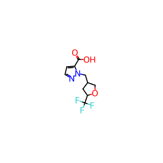 O=C(O)c1ccnn1CC1COC(C(F)(F)F)C1